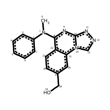 CN(c1ccccc1)c1nc2nncn2c2cc(CO)ccc12